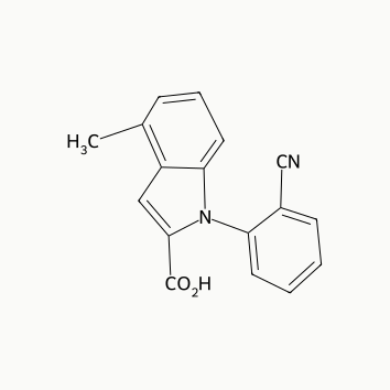 Cc1cccc2c1cc(C(=O)O)n2-c1ccccc1C#N